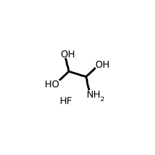 F.NC(O)C(O)O